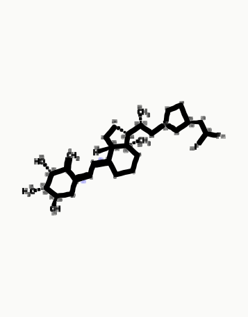 C=C1/C(=C\C=C2/CCC[C@]3(C)[C@@H]([C@H](C)CN4CC[C@@H](CC(F)F)C4)CC[C@@H]23)C[C@@H](O)[C@H](C)[C@@H]1O